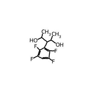 CC(O)C(c1c(F)c(F)cc(F)c1F)C(C)O